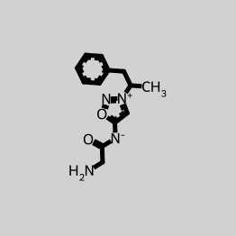 CC(Cc1ccccc1)[n+]1cc([N-]C(=O)CN)on1